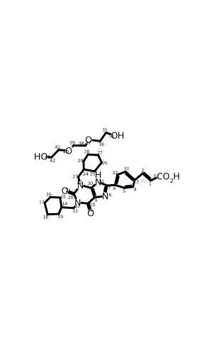 O=C(O)/C=C/c1ccc(-c2nc3c(=O)n(CC4CCCCC4)c(=O)n(CC4CCCCC4)c3[nH]2)cc1.OCCOCCOCCO